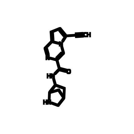 C#Cc1ccc2cnc(C(=O)NC3CC4CNC3C4)cn12